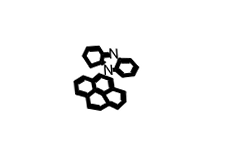 C1=Cc2nc3ccccc3nc2CC1.c1cc2ccc3cccc4ccc(c1)c2c34